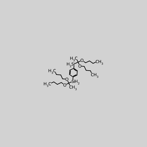 CCCCOC(C)(OCCCC)[SiH2]c1ccc([SiH2]C(C)(OCCCC)OCCCC)cc1